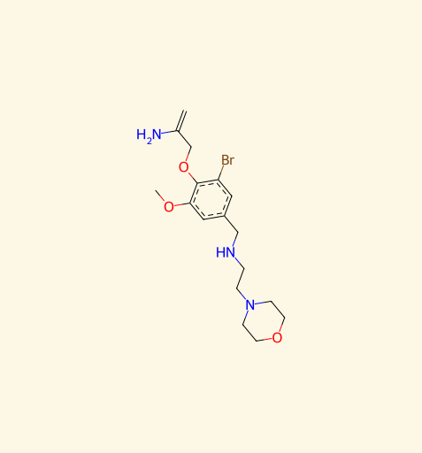 C=C(N)COc1c(Br)cc(CNCCN2CCOCC2)cc1OC